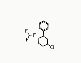 ClC1CCCC(c2ccccc2)C1.FC(F)F